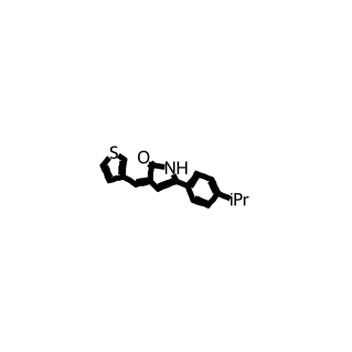 CC(C)c1ccc(C2=CC(=Cc3ccsc3)C(=O)N2)cc1